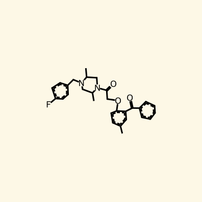 Cc1ccc(OCC(=O)N2CC(C)N(Cc3ccc(F)cc3)CC2C)c(C(=O)c2ccccc2)c1